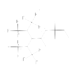 CCC(C)(C)CC(C)C(C(C(F)(F)F)C(F)(F)F)C(C(F)(F)F)C(F)(F)F